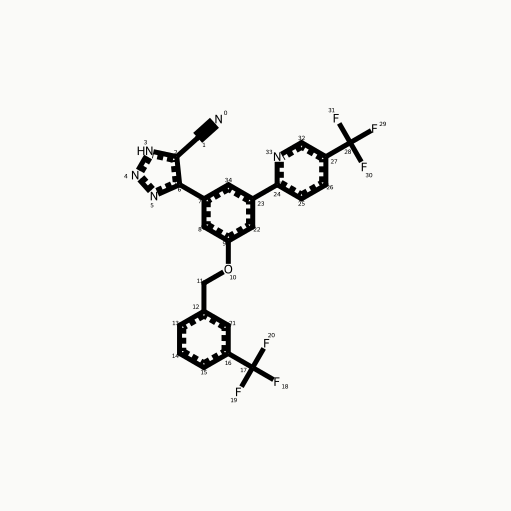 N#Cc1[nH]nnc1-c1cc(OCc2cccc(C(F)(F)F)c2)cc(-c2ccc(C(F)(F)F)cn2)c1